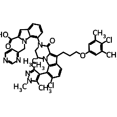 Cc1cc(OCCCc2c3n(c4c(-c5c(C)nn(C)c5C)c(Cl)ccc24)C(C)CN(c2cccc4cc(C(=O)O)n(Cc5ccncn5)c24)C3=O)cc(C)c1Cl